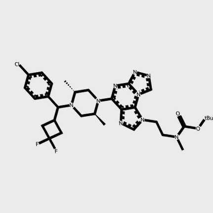 C[C@@H]1CN(c2nc3nncn3c3c2ncn3CCN(C)C(=O)OC(C)(C)C)[C@@H](C)CN1C(c1ccc(Cl)cc1)C1CC(F)(F)C1